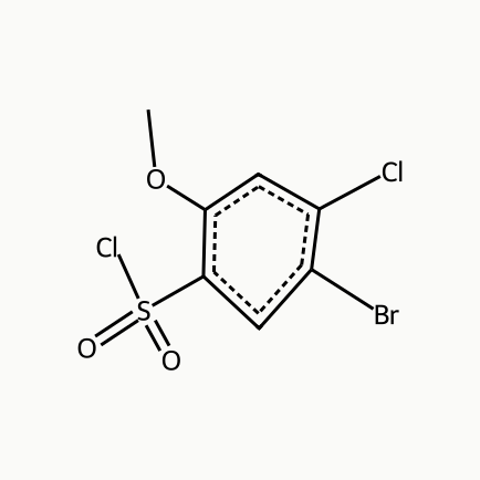 COc1cc(Cl)c(Br)cc1S(=O)(=O)Cl